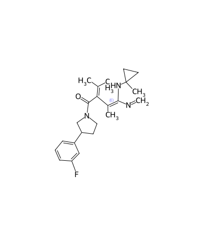 C=N/C(NC1(C)CC1)=C(\C)C(C(=O)N1CCC(c2cccc(F)c2)C1)=C(C)C